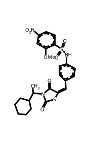 COc1cc([N+](=O)[O-])ccc1S(=O)(=O)Nc1ccc(C=C2SC(=O)N(C(C)C3CCCCC3)C2=O)cc1